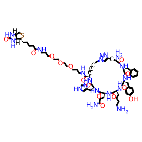 NCCCC[C@@H]1NC(=O)[C@H](Cc2ccc(O)cc2)NC(=O)[C@H](Cc2ccccc2)NC(=O)[C@@H](N)Cc2cn(nn2)CCCC[C@@H](C(=O)NCCCOCCOCCOCCCNC(=O)CCCC[C@H]2SC[C@H]3NC(=O)N[C@H]32)NC(=O)[C@H](Cc2c[nH]cn2)NC(=O)[C@H](CCC(N)=O)NC1=O